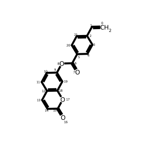 C=Cc1ccc(C(=O)Oc2ccc3ccc(=O)oc3c2)cc1